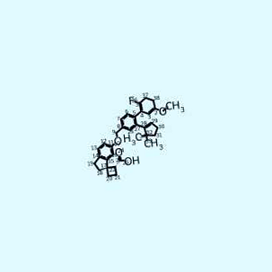 COC1=CC(c2ccc(COc3ccc4c(c3)[C@@]3(CC4)CC[C@H]3C(=O)O)cc2C2=CCCC2(C)C)=C(F)CC1